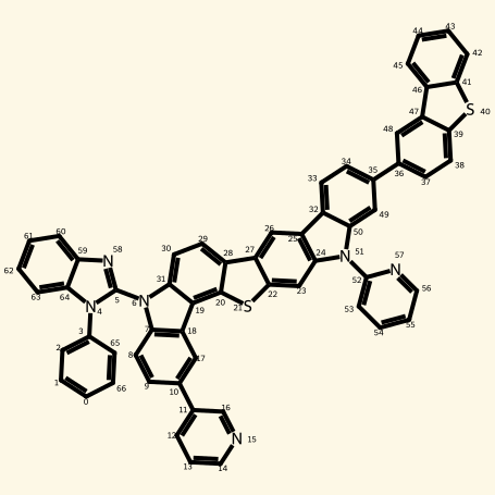 c1ccc(-n2c(-n3c4ccc(-c5cccnc5)cc4c4c5sc6cc7c(cc6c5ccc43)c3ccc(-c4ccc5sc6ccccc6c5c4)cc3n7-c3ccccn3)nc3ccccc32)cc1